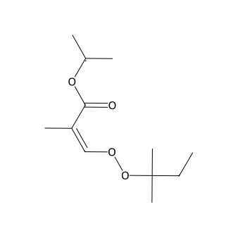 CCC(C)(C)OOC=C(C)C(=O)O[C](C)C